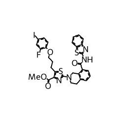 COC(=O)c1nc(N2CCc3cccc(C(=O)Nc4nc5ccccc5s4)c3C2)sc1CCCOc1ccc(I)cc1F